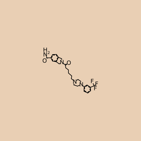 NC(=O)c1ccc2c(c1)CN(C(=O)CCCCCN1CCN(c3cccc(C(F)(F)F)c3)CC1)C2